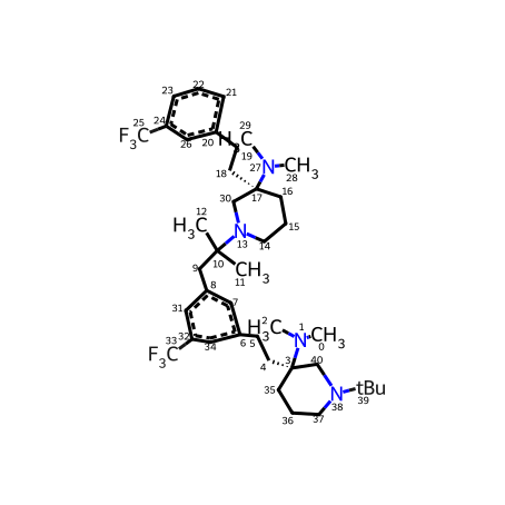 CN(C)[C@]1(CCc2cc(CC(C)(C)N3CCC[C@](CCc4cccc(C(F)(F)F)c4)(N(C)C)C3)cc(C(F)(F)F)c2)CCCN(C(C)(C)C)C1